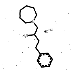 Cl.Cl.NC(CCc1ccccc1)CN1CCCCCC1